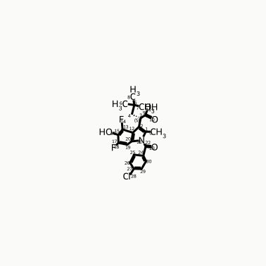 Cc1c([C@H](CC(C)(C)C)C(=O)O)c2c(F)c(O)c(F)cc2n1C(=O)c1ccc(Cl)cc1